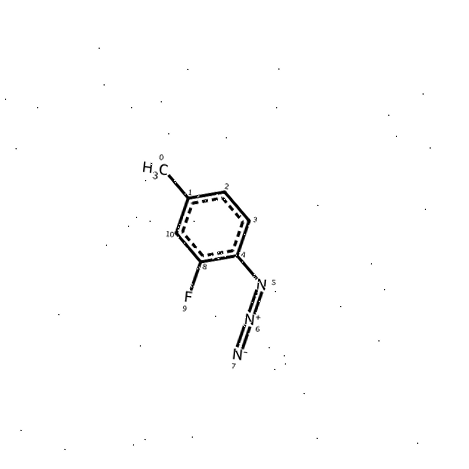 Cc1ccc(N=[N+]=[N-])c(F)c1